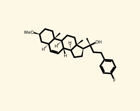 CO[C@H]1CC[C@@]2(C)[C@@H](C=C[C@@H]3[C@@H]2CC[C@@]2(C)[C@H]3CC[C@@H]2[C@](C)(O)CCc2ccc(F)cc2)C1